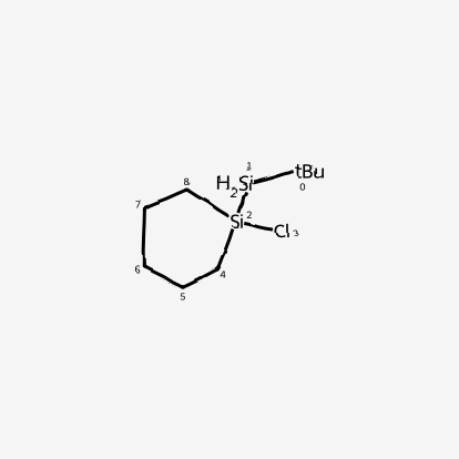 CC(C)(C)[SiH2][Si]1(Cl)CCCCC1